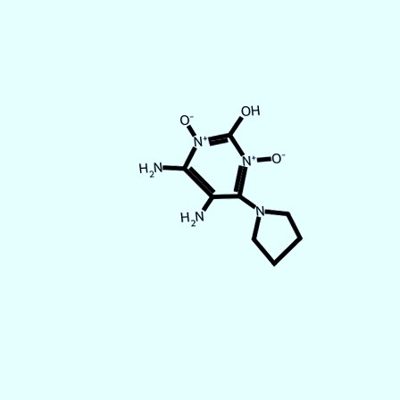 Nc1c(N)[n+]([O-])c(O)[n+]([O-])c1N1CCCC1